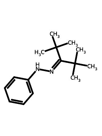 CC(C)(C)C(=NNc1ccccc1)C(C)(C)C